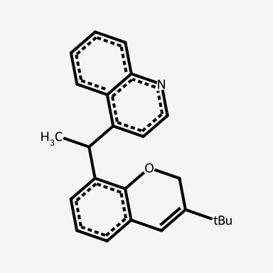 CC(c1cccc2c1OCC(C(C)(C)C)=C2)c1ccnc2ccccc12